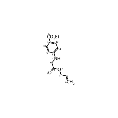 C=CCOC(=O)CNc1ccc(C(=O)OCC)cc1